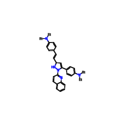 CCN(CC)c1ccc(C=CC2C=C(c3ccc(N(CC)CC)cc3)N(c3ccc4ccccc4n3)N2)cc1